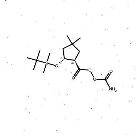 CC1(C)C[C@@H](O[Si](C)(C)C(C)(C)C)[C@H](C(=O)OOC(N)=O)C1